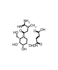 CN(CC(=O)N1C[C@H](O)[C@@H](O)[C@H](O)[C@H]1CO)C(=N)N.O=C(O)/C=C/C(=O)O